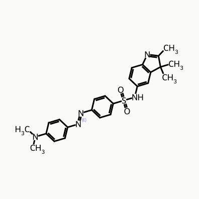 CC1=Nc2ccc(NS(=O)(=O)c3ccc(/N=N/c4ccc(N(C)C)cc4)cc3)cc2C1(C)C